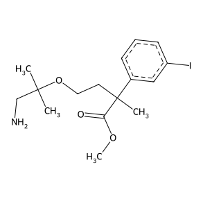 COC(=O)C(C)(CCOC(C)(C)CN)c1cccc(I)c1